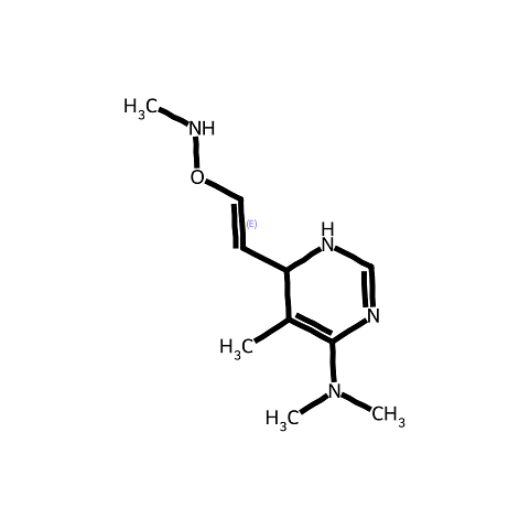 CNO/C=C/C1NC=NC(N(C)C)=C1C